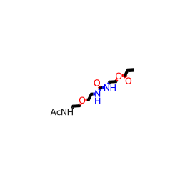 C=CC(=O)OCCNC(=O)NCCOCCNC(C)=O